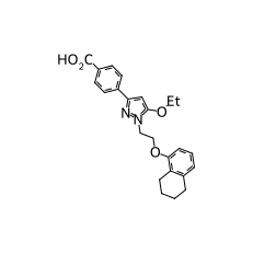 CCOc1cc(-c2ccc(C(=O)O)cc2)nn1CCOc1cccc2c1CCCC2